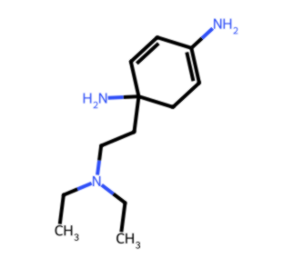 CCN(CC)CCC1(N)C=CC(N)=CC1